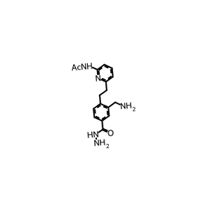 CC(=O)Nc1cccc(CCc2ccc(C(=O)NN)cc2CN)n1